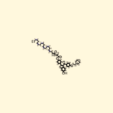 CC/C=C\C/C=C\C/C=C\C/C=C\C/C=C\C/C=C\CCC(=O)NC(C)C(=O)Oc1ccc(-c2sc3cc(O)ccc3c2C(=O)c2ccc(OCCN3CCOCC3)cc2)cc1